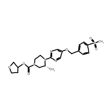 C[C@@H]1CN(C(=O)OC2CCOC2)CCN1c1ncc(OCc2ccc(S(C)(=O)=O)cc2)cn1